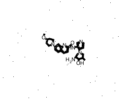 COC1CCN(c2ccc3ccc(C(=O)Nc4cnccc4N4CC(C)C(O)C(N)C4)nc3c2)CC1